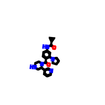 O=C(Nc1ccc(C(=O)N2CCNCC2c2cccnc2)c(N2CCCC2)c1)C1CC1